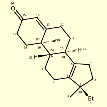 CC[C@]1(C)CCC2=C1CC[C@H]1[C@H]2CCC2=CC(=O)CC[C@@]21C